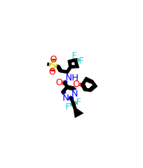 CS(=O)(=O)/C=C/[C@@H](NC(=O)c1cnc(C(F)(F)C2CC2)nc1Oc1ccccc1)C1CC(F)(F)C1